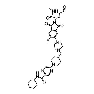 CNC(=O)C(CCC=O)N1C(=O)c2cc(F)c(N3CCN(CC4CCN(c5cnc(C(=O)NC6CCCCC6)cn5)CC4)CC3)cc2C1=O